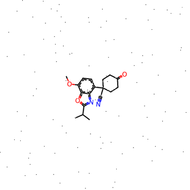 COc1ccc(C2(C#N)CCC(=O)CC2)c2nc(C(C)C)oc12